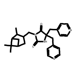 CC1C(CN2C(=O)C(Cc3ccncc3)(Cc3ccncc3)NC2=S)CC2CC1C2(C)C